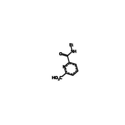 CCNC(=O)c1cccc(C(=O)O)n1